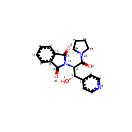 O=C([C@@H]([C@@H](O)c1ccncc1)N1C(=O)c2ccccc2C1=O)N1CCCC1